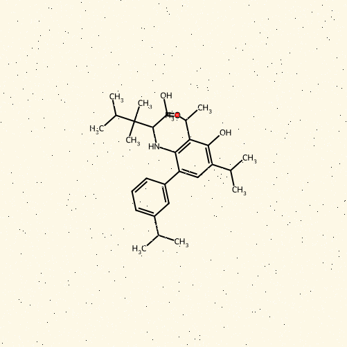 CC(C)c1cccc(-c2cc(C(C)C)c(O)c(C(C)C)c2NC(C(=O)O)C(C)(C)C(C)C)c1